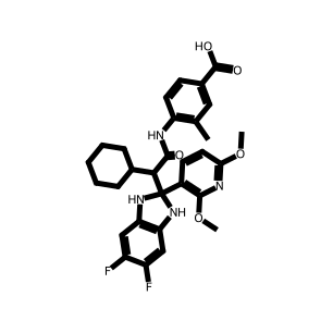 COc1ccc(C2(C(C(=O)Nc3ccc(C(=O)O)cc3C)C3CCCCC3)Nc3cc(F)c(F)cc3N2)c(OC)n1